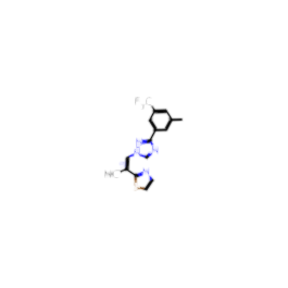 Cc1cc(-c2ncn(/C=C(/C#N)c3nccs3)n2)cc(C(F)(F)F)c1